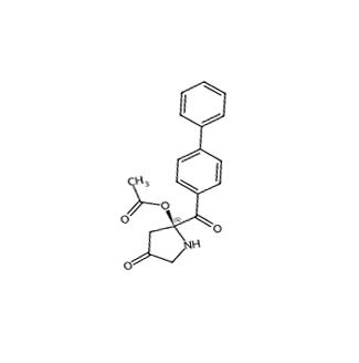 CC(=O)O[C@]1(C(=O)c2ccc(-c3ccccc3)cc2)CC(=O)CN1